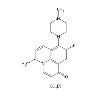 CCOC(=O)c1cn2c3c(c(N4CCN(C)CC4)c(F)cc3c1=O)C=CC2C